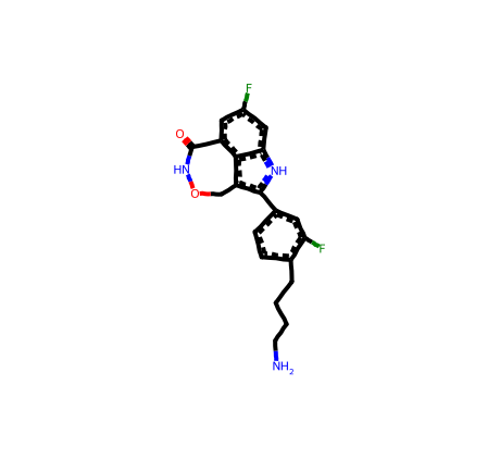 NCCCCc1ccc(-c2[nH]c3cc(F)cc4c3c2CONC4=O)cc1F